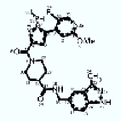 COc1cc(-c2cc(C(=O)N3CCC(C(=O)NCc4ccc5[nH]nc(C)c5c4)CC3)nn2PI)c(F)cn1